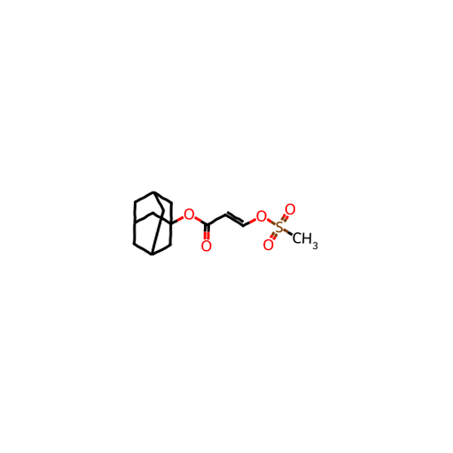 CS(=O)(=O)OC=CC(=O)OC12CC3CC(CC(C3)C1)C2